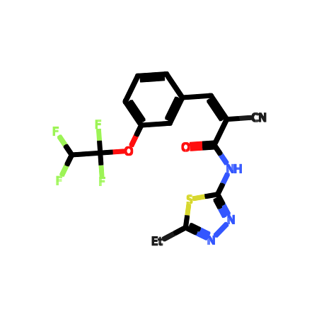 CCc1nnc(NC(=O)C(C#N)=Cc2cccc(OC(F)(F)C(F)F)c2)s1